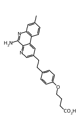 Cc1ccc2c(c1)nc(N)c1ncc(CCc3ccc(OCCCC(=O)O)cc3)cc12